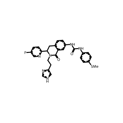 CSc1ccc(NC(=O)Nc2ccc3c(c2)C(=O)N(CCc2c[nH]cn2)C(c2ccc(F)cn2)C3)cc1